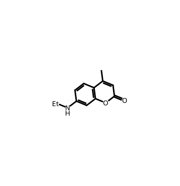 CCNc1ccc2c(C)cc(=O)oc2c1